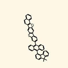 CC1(C)c2ccccc2-c2c(-c3c4ccccc4c(-c4ccc5c(c4)sc4cc6c(cc45)oc4c5ccccc5ccc64)c4ccccc34)cccc21